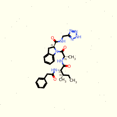 CC[C@H](C)[C@H](NC(=O)Cc1ccccc1)C(=O)N[C@@H](C)C(=O)N1c2ccccc2C[C@H]1C(=O)NCc1nn[nH]n1